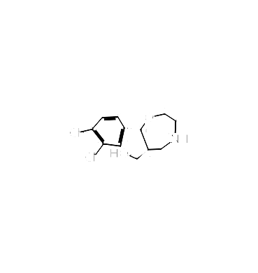 OC[C@@H]1CNCCO[C@H]1c1ccc(Cl)c(Cl)c1